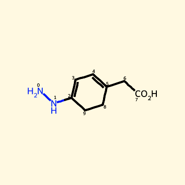 NNC1=CC=C(CC(=O)O)CC1